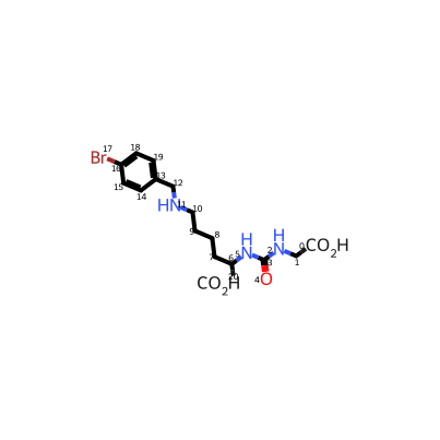 O=C(O)CNC(=O)NC(CCCCNCc1ccc(Br)cc1)C(=O)O